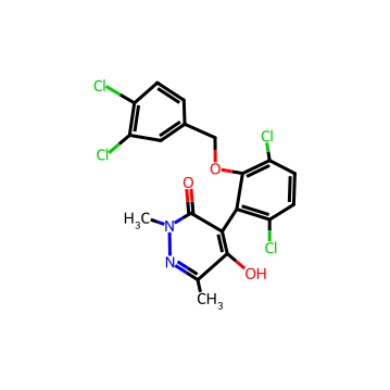 Cc1nn(C)c(=O)c(-c2c(Cl)ccc(Cl)c2OCc2ccc(Cl)c(Cl)c2)c1O